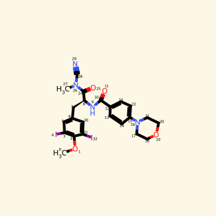 COc1c(I)cc(C[C@H](NC(=O)c2ccc(N3CCOCC3)cc2)C(=O)N(C)C#N)cc1I